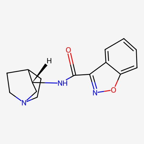 O=C(N[C@@H]1CN2CCC1CC2)c1noc2ccccc12